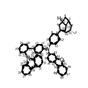 C[C@H]1CC2C[C@H]3CC(c4ccc(N(c5ccc(-c6ccccc6-n6c7ccccc7c7ccccc76)cc5)c5ccc6c(c5)oc5ccccc56)cc4)(CC23)C1